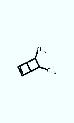 CC1C(C)C2C=CC12